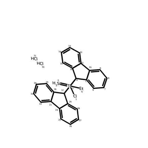 C[CH2][Ti](=[SiH2])([Cl])([CH]1c2ccccc2-c2ccccc21)[CH]1c2ccccc2-c2ccccc21.Cl.Cl